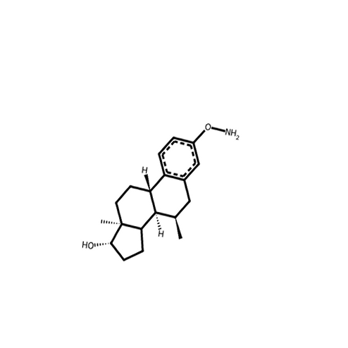 C[C@@H]1Cc2cc(ON)ccc2[C@H]2CC[C@@]3(C)C(CC[C@@H]3O)[C@H]12